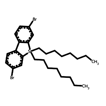 CCCCCCCC[Si]1(CCCCCCCC)c2cc(Br)ccc2-c2ccc(Br)cc21